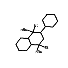 CCCCC1(CC)CC(C2CCCCC2)C(CC)(CCCC)C2CCCCC21